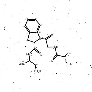 CC[C@H](C)[C@H](NC(C)=O)C(=O)NCC(=O)N1c2ccccc2C[C@H]1C(=O)NC(C=O)CC(=O)O